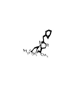 Cc1nc(CC(C)C)n2c1CNC(Cc1ccccc1)=N2